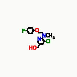 CN(CCOc1ccc(F)cc1)c1ncc(CO)cc1Cl